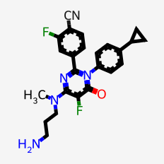 CN(CCCN)c1nc(-c2ccc(C#N)c(F)c2)n(-c2ccc(C3CC3)cc2)c(=O)c1F